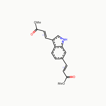 COC(=O)/C=C/c1ccc2c(/C=C/C(=O)OC)c[nH]c2c1